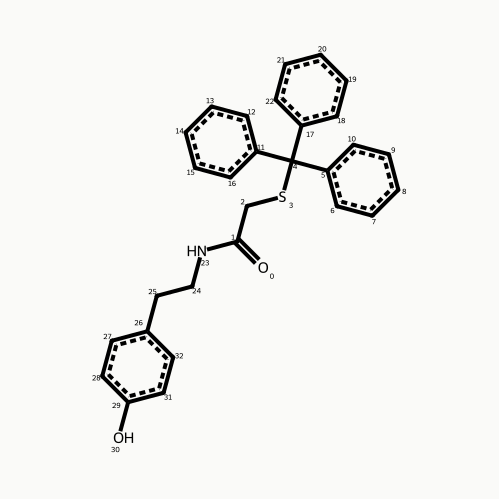 O=C(CSC(c1ccccc1)(c1ccccc1)c1ccccc1)NCCc1ccc(O)cc1